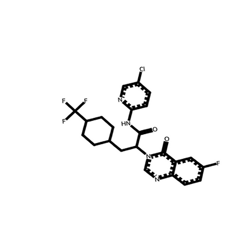 O=C(Nc1ccc(Cl)cn1)C(CC1CCC(C(F)(F)F)CC1)n1cnc2ccc(F)cc2c1=O